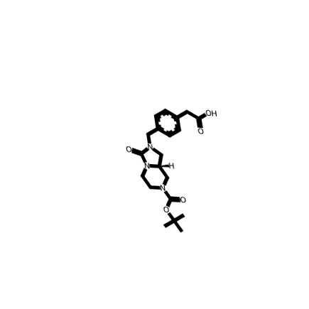 CC(C)(C)OC(=O)N1CCN2C(=O)N(Cc3ccc(CC(=O)O)cc3)C[C@@H]2C1